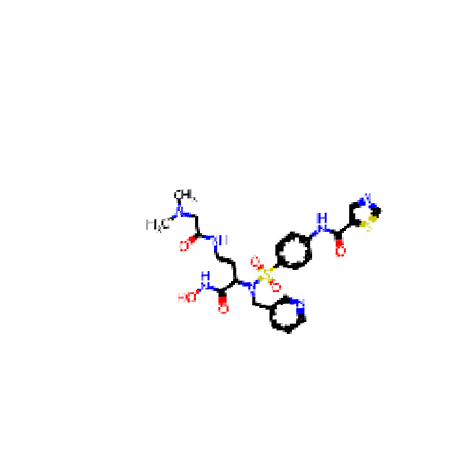 CN(C)CC(=O)NCCC(C(=O)NO)N(Cc1cccnc1)S(=O)(=O)c1ccc(NC(=O)c2cncs2)cc1